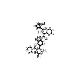 CCC(=O)NC(C(=O)N1CCOCC1)C(C)c1ccc(NC(=O)C(NC(=O)c2ccnn2CC)C2CCCCC2)c(F)c1